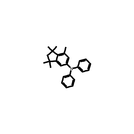 Cc1cc(N(c2ccccc2)c2ccccc2)cc2c1C(C)(C)CC2(C)C